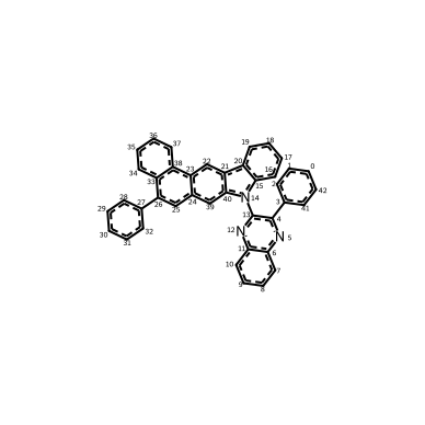 c1ccc(-c2nc3ccccc3nc2-n2c3ccccc3c3cc4c(cc(-c5ccccc5)c5ccccc54)cc32)cc1